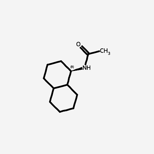 CC(=O)N[C@@H]1CCCC2CCCCC21